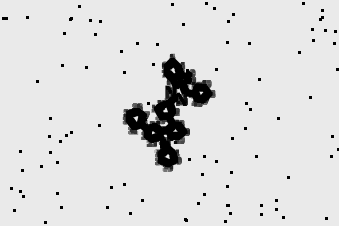 C[Si]1(C)c2ccccc2-c2nc(-c3cccc(-c4cccc5c4c4cc(-c6ccccc6)ccc4n5-c4ccccc4)c3)nc(-c3ccccc3)c21